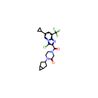 O=C(c1nc2c(C(F)(F)F)cc(C3CC3)cn2c1Cl)N1CCN(C2CC3CC3C2)C(=O)C1